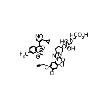 C#CCOc1cc(-n2nc3n(c2=O)CCCC3)c(Cl)cc1Cl.CS(=O)(=O)c1cc(C(F)(F)F)ccc1C(=O)c1cnoc1C1CC1.O=C(O)CNCP(=O)(O)O